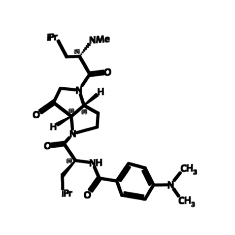 CN[C@@H](CC(C)C)C(=O)N1CC(=O)[C@@H]2[C@H]1CCN2C(=O)[C@H](CC(C)C)NC(=O)c1ccc(N(C)C)cc1